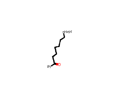 CCCCCCCCCCCCCC(=O)C(C)C